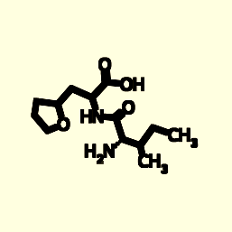 CCC(C)[C@H](N)C(=O)NC(CC1CCCO1)C(=O)O